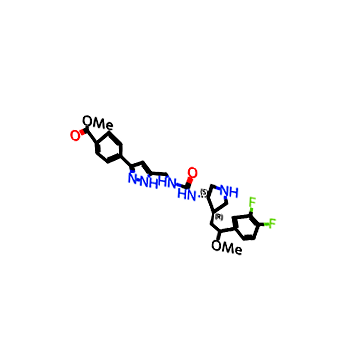 COC(=O)c1ccc(-c2cc(CNC(=O)N[C@@H]3CNC[C@H]3CC(OC)c3ccc(F)c(F)c3)[nH]n2)cc1